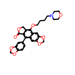 O=C1OCc2c1c(-c1ccc3c(c1)OCO3)c1cc3c(cc1c2OCCCCN1CCOCC1)OCO3